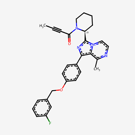 CC#CC(=O)N1CCCC[C@H]1c1nc(-c2ccc(OCc3cccc(F)c3)cc2)c2c(C)nccn12